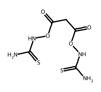 NC(=S)NOC(=O)CC(=O)ONC(N)=S